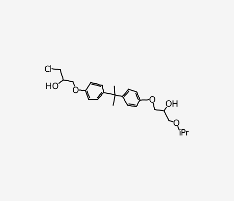 CC(C)OCC(O)COc1ccc(C(C)(C)c2ccc(OCC(O)CCl)cc2)cc1